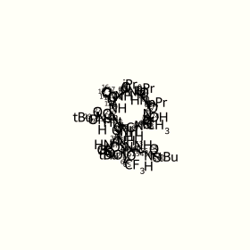 CCC[C@@H]1NC(=O)[C@H](CC(C)C)NC(=O)[C@@H](Cc2ccccc2)NC(=O)[C@H](CCNC(=O)OC(C)(C)C)NC(=O)[C@@H](NC(=O)[C@H](CCNC(=O)OC(C)(C)C)NC(=O)[C@@H](NC(=O)[C@@H](N)CCNC(=O)OC(C)(C)C)[C@H](O)CCC(F)(F)F)CCNC(=O)[C@H]([C@@H](C)O)NC(=O)[C@H](CCC)NC1=O